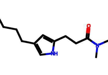 CCCCc1c[nH]c(CCC(=O)N(C)C)c1